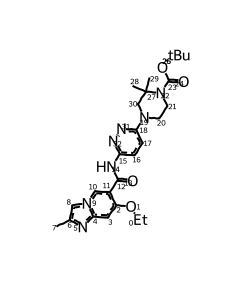 CCOc1cc2nc(C)cn2cc1C(=O)Nc1ccc(N2CCN(C(=O)OC(C)(C)C)C(C)(C)C2)nn1